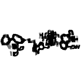 CC(C)(C)[Si](C)(C)O[C@@H](CNCc1ccc2c(c1)nnn2C/C=C/c1ccc(-c2ccccc2)c(NC(=O)O)c1)c1ccc(O)c2[nH]c(=O)ccc12